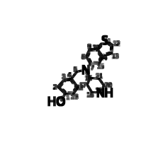 Oc1ccc(CN(c2ccc3sccc3c2)C2CCNCC2)cc1